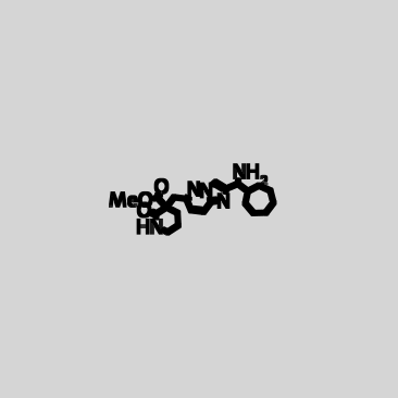 COC(=O)C1(Cc2ccc3nc(C(N)C4CCCCCC4)cn3n2)CCCNC1=O